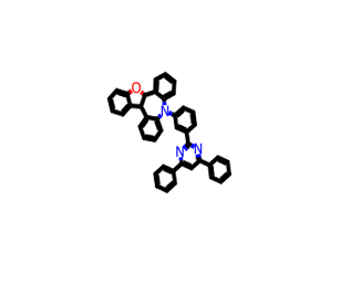 c1ccc(-c2cc(-c3ccccc3)nc(-c3cccc(N4c5ccccc5C5Oc6ccccc6C5c5ccccc54)c3)n2)cc1